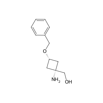 N[C@]1(CO)C[C@H](OCc2ccccc2)C1